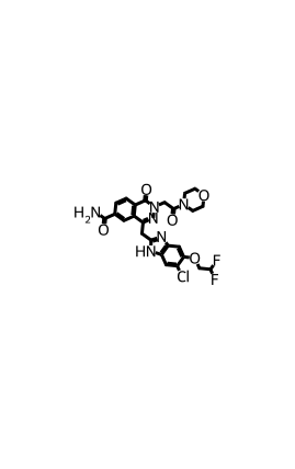 NC(=O)c1ccc2c(=O)n(CC(=O)N3CCOCC3)nc(Cc3nc4cc(OCC(F)F)c(Cl)cc4[nH]3)c2c1